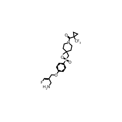 CC1(CS(=O)(=O)c2ccc(OCC(=CF)CN)cc2)CCN(C(=O)C2(C(F)(F)F)CC2)CC1